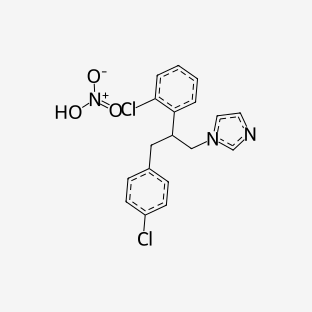 Clc1ccc(CC(Cn2ccnc2)c2ccccc2Cl)cc1.O=[N+]([O-])O